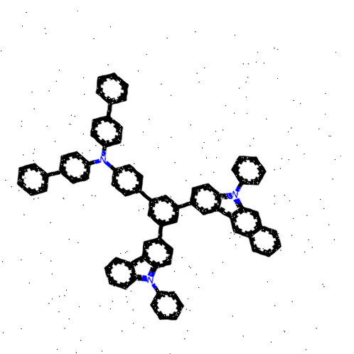 c1ccc(-c2ccc(N(c3ccc(-c4ccccc4)cc3)c3ccc(-c4cc(-c5ccc6c(c5)c5ccccc5n6-c5ccccc5)cc(-c5ccc6c(c5)c5cc7ccccc7cc5n6-c5ccccc5)c4)cc3)cc2)cc1